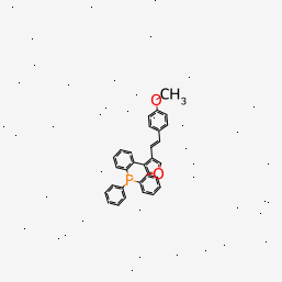 COc1ccc(C=Cc2cocc2-c2ccccc2P(c2ccccc2)c2ccccc2)cc1